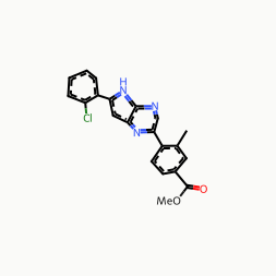 COC(=O)c1ccc(-c2cnc3[nH]c(-c4ccccc4Cl)cc3n2)c(C)c1